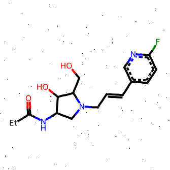 CCC(=O)NC1CN(C/C=C/c2ccc(F)nc2)C(CO)C1O